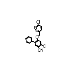 N#Cc1cc(-c2ccccc2)c(OCc2ccc(Cl)nn2)cc1Cl